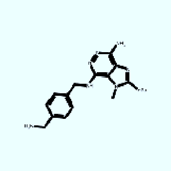 CCCCc1nc2c(N)nnc(NCc3ccc(CN)cc3)c2n1C